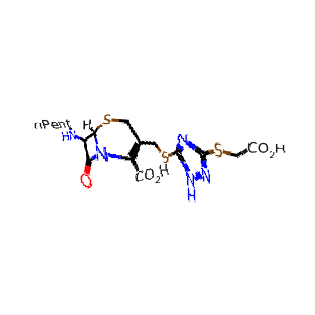 CCCCCNC1C(=O)N2C(C(=O)O)=C(CSc3nc(SCC(=O)O)n[nH]3)CS[C@@H]12